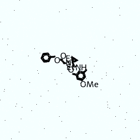 CC[N+](CC)(CC(=O)OCc1ccccc1)C1(C(=O)Nc2c(C)cc(OC)cc2C)CC1